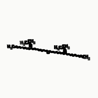 CCCCCCCCCCCCC(CCCCCCCCCCOCCCCCCCCCCC(CCCCCCCCCCCC)COCC(C)CC)COCC(C)CC